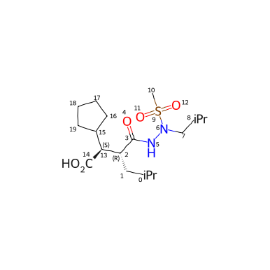 CC(C)C[C@@H](C(=O)NN(CC(C)C)S(C)(=O)=O)[C@@H](C(=O)O)C1CCCC1